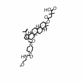 C=C(C)[C@@H]1CC[C@]2(CC(=O)N3CCN(C(=O)NCCOC)CC3)CC[C@]3(C)[C@H](CC[C@@H]4[C@@]5(C)CC[C@H](OC(=O)CC(C)(C)C(=O)O)C(C)(C)[C@@H]5CC[C@]43C)[C@@H]12